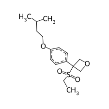 CCS(=O)(=O)C1(c2ccc(OCCC(C)C)cc2)COC1